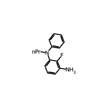 CCCN(c1ccccc1)c1cccc(N)c1F